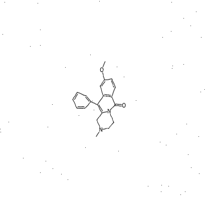 COc1ccc2c(=O)n3c(c(-c4ccccc4)c2c1)CN(C)CC3